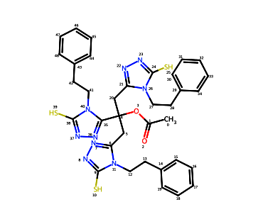 CC(=O)OC(Cc1nnc(S)n1CCc1ccccc1)(Cc1nnc(S)n1CCc1ccccc1)c1nnc(S)n1CCc1ccccc1